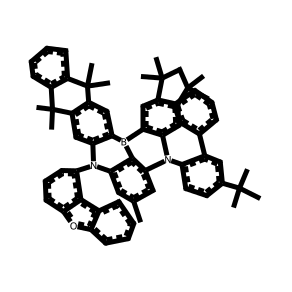 Cc1cc2c3c(c1)N(c1cccc4oc5ccccc5c14)c1cc4c(cc1B3c1cc3c(cc1N2c1ccc(C(C)(C)C)cc1-c1ccccc1)C(C)(C)CC3(C)C)C(C)(C)c1ccccc1C4(C)C